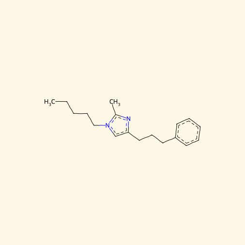 CCCCCn1cc(CCCc2ccccc2)nc1C